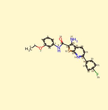 CCOc1cccc(NC(=O)c2sc3nc(-c4ccc(F)cc4)ccc3c2N)c1